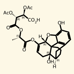 CC(=O)O[C@@H](C(=O)O)[C@@H](OC(C)=O)C(=O)O[C@@H](C)C(=O)OC1=CC[C@@]2(O)[C@@H]3CCCC24c2c(ccc(O)c2O[C@@H]14)C3